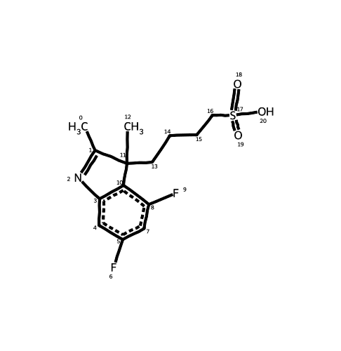 CC1=Nc2cc(F)cc(F)c2C1(C)CCCCS(=O)(=O)O